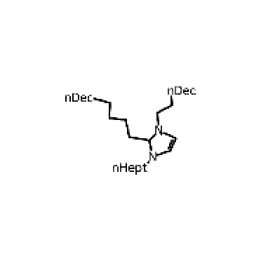 CCCCCCCCCCCCCCC1N(CCCCCCC)C=CN1CCCCCCCCCCCC